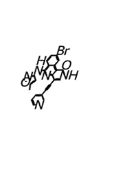 Cc1cc(Nc2nc3c(C#Cc4cccnc4)c[nH]c(=O)c3c3cc(Br)ccc23)no1